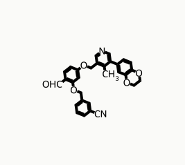 Cc1c(COc2ccc(C=O)c(OCc3cccc(C#N)c3)c2)cncc1-c1ccc2c(c1)OCCO2